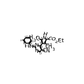 CCOC(=O)c1[nH]c(C)c(-c2nc(Nc3ccccc3)ncc2C#N)c1C